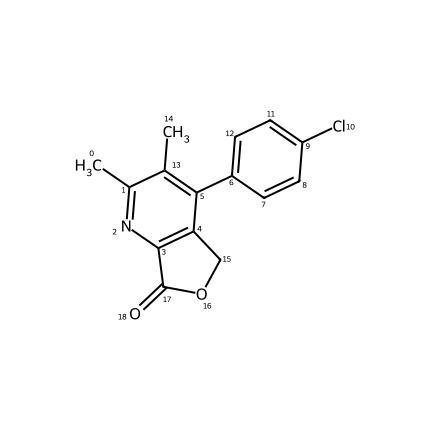 Cc1nc2c(c(-c3ccc(Cl)cc3)c1C)COC2=O